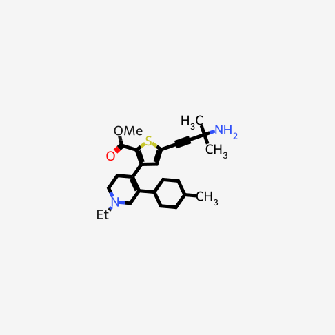 CCN1CCC(c2cc(C#CC(C)(C)N)sc2C(=O)OC)=C(C2CCC(C)CC2)C1